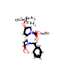 CC(C)(C)OC(=O)N1C[C@H](O[Si](C)(C)C(C)(C)C)C[C@H]1C1CC(=O)N1Cc1ccccc1